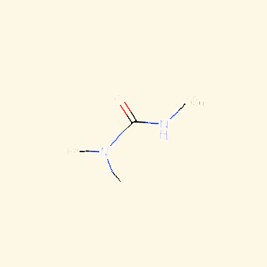 CCCCNC(=O)N(C)CC